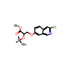 CC(C)(C)OC(=O)C(COc1ccc2cc(Cl)ncc2c1)O[Si](C)(C)C(C)(C)C